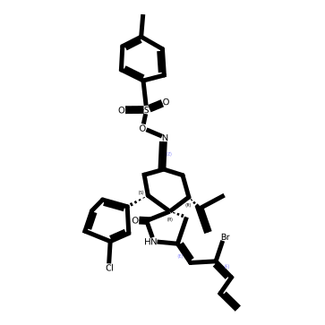 C=C/C=C(Br)\C=C1/C[C@@]2(C(=O)N1)[C@@H](C(=C)C)C/C(=N/OS(=O)(=O)c1ccc(C)cc1)C[C@H]2c1cccc(Cl)c1